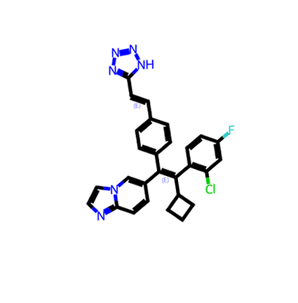 Fc1ccc(/C(=C(\c2ccc(/C=C/c3nnn[nH]3)cc2)c2ccc3nccn3c2)C2CCC2)c(Cl)c1